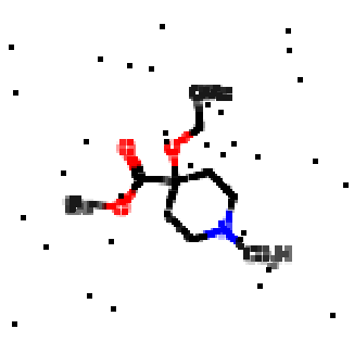 COCOC1(C(=O)OC(C)(C)C)CCN(C(=O)O)CC1